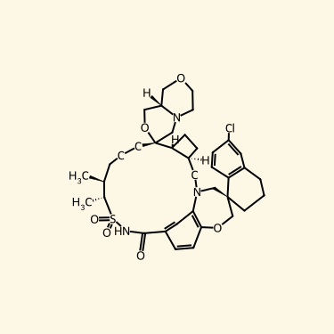 C[C@@H]1[C@@H](C)CCC[C@@]2(CN3CCOC[C@H]3CO2)[C@@H]2CC[C@H]2CN2C[C@@]3(CCCc4cc(Cl)ccc43)COc3ccc(cc32)C(=O)NS1(=O)=O